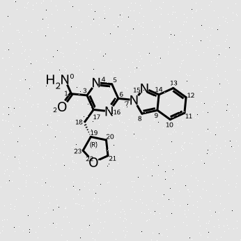 NC(=O)c1ncc(-n2cc3ccccc3n2)nc1C[C@@H]1CCOC1